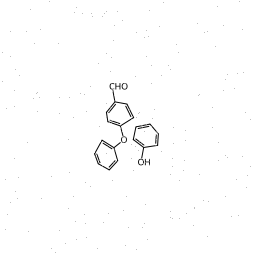 O=Cc1ccc(Oc2ccccc2)cc1.Oc1ccccc1